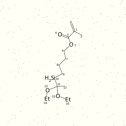 C=C(C)C(=O)OCCCC[SiH2]C(C)(OCC)OCC